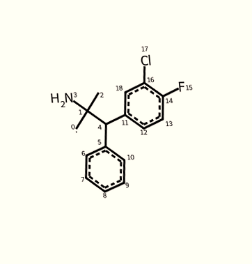 [CH2]C(C)(N)C(c1ccccc1)c1ccc(F)c(Cl)c1